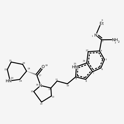 CCN=C(N)c1ccc2cc(CCC3CCCN3C(=O)[C@H]3CCCNC3)[nH]c2c1